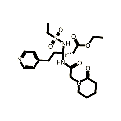 CCOC(=O)C[C@@](CCc1ccncc1)(NC(=O)CN1CCCCC1=O)NS(=O)(=O)CC